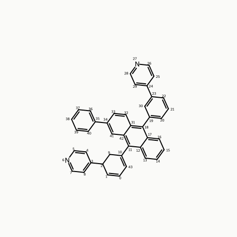 C1=CC(c2ccncc2)CC(c2c3ccccc3c(-c3cccc(-c4ccncc4)c3)c3ccc(-c4ccccc4)cc23)=C1